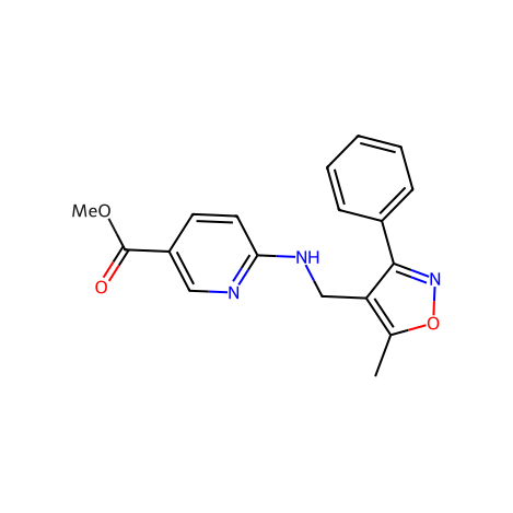 COC(=O)c1ccc(NCc2c(-c3ccccc3)noc2C)nc1